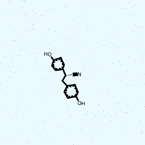 N#C[C@H](Cc1ccc(O)cc1)c1ccc(O)cc1